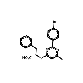 Cc1cc(N[C@@H](Cc2ccccc2)C(=O)O)nc(-c2ccc(Br)cc2)n1